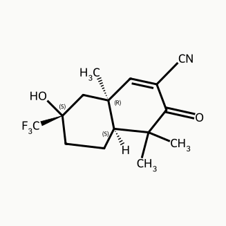 CC1(C)C(=O)C(C#N)=C[C@]2(C)C[C@](O)(C(F)(F)F)CC[C@H]12